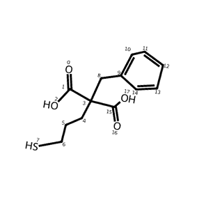 O=C(O)C(CCCS)(Cc1ccccc1)C(=O)O